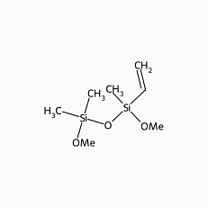 C=C[Si](C)(OC)O[Si](C)(C)OC